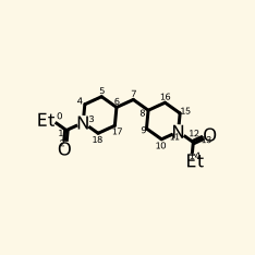 CCC(=O)N1CCC(CC2CCN(C(=O)CC)CC2)CC1